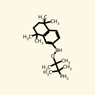 CC1(C)CCC(C)(C)c2cc(BOC(C)(C)C(C)(C)P)ccc21